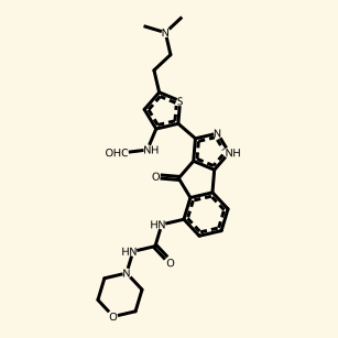 CN(C)CCc1cc(NC=O)c(-c2n[nH]c3c2C(=O)c2c(NC(=O)NN4CCOCC4)cccc2-3)s1